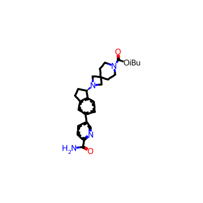 CC(C)COC(=O)N1CCC2(CC1)CN([C@@H]1CCc3cc(-c4ccc(C(N)=O)nc4)ccc31)C2